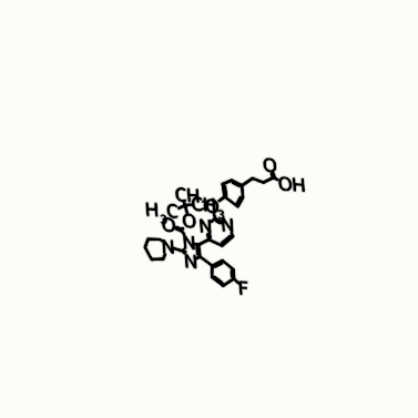 CC(C)(C)OC(=O)n1c(N2CCCCC2)nc(-c2ccc(F)cc2)c1-c1ccnc(Oc2ccc(CCC(=O)O)cc2)n1